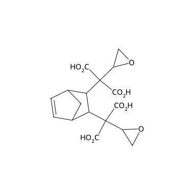 O=C(O)C(C(=O)O)(C1CO1)C1C2C=CC(C2)C1C(C(=O)O)(C(=O)O)C1CO1